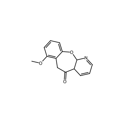 COc1cccc2c1CC(=O)C1C=CC=NC1O2